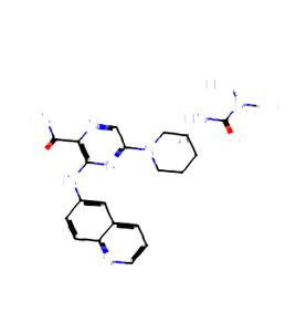 CN(C)C(=O)N[C@@H]1CCCN(c2cnc(C(N)=O)c(Nc3ccc4ncccc4c3)n2)C1